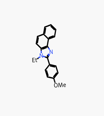 CCn1c(-c2ccc(OC)cc2)nc2c3ccccc3ccc21